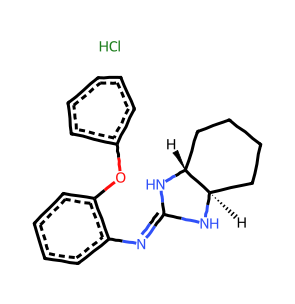 Cl.c1ccc(Oc2ccccc2N=C2N[C@@H]3CCCC[C@H]3N2)cc1